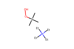 CC[N+](CC)(CC)CC.C[Si](C)(C)OO